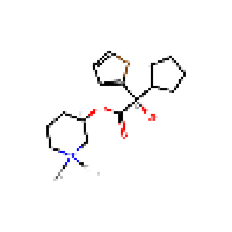 C[N+]1(C)CCC[C@@H](OC(=O)[C@](O)(c2cccs2)C2CCCC2)C1